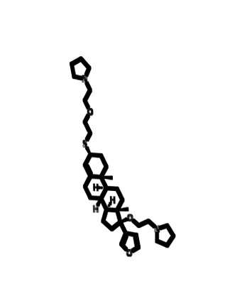 C[C@]12CC[C@H](SCCOCCN3CCCC3)C=C1CC[C@@H]1[C@@H]2CC[C@@]2(C)[C@H]1CC[C@@]2(OCCN1CCCC1)c1ccoc1